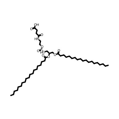 CCCCCCCCCCCCCCCCCCC(=O)OCC(CO[PH](=O)OCCNC(=O)CCC(=O)O)OC(=O)CCCCCCCCCCCCCCCCCC